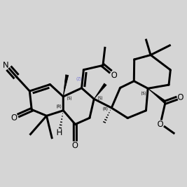 COC(=O)[C@]12CCC(C)(C)CC1C[C@](C)([C@]1(C)CC(=O)[C@H]3C(C)(C)C(=O)C(C#N)=C[C@]3(C)/C1=C/C(C)=O)CC2